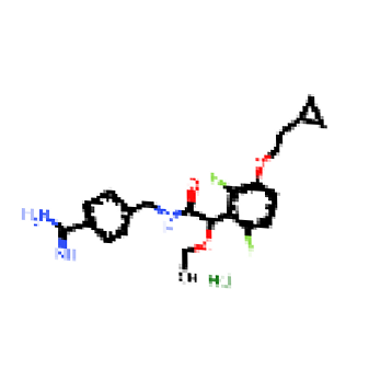 CCOC(C(=O)NCc1ccc(C(=N)N)cc1)c1c(F)ccc(OCCC2CC2)c1F.Cl